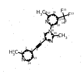 Cc1cc(C#Cc2cn(-c3cc(C(F)(F)F)cc(C)n3)c(C)n2)ccn1